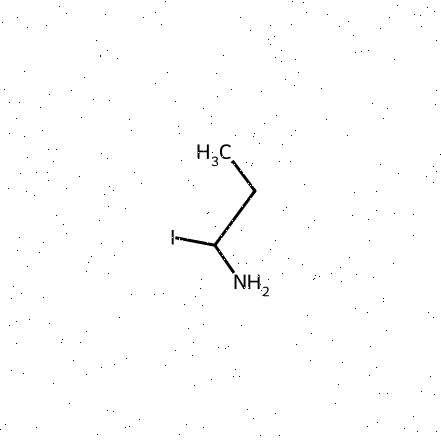 CCC(N)I